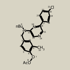 CCCCN(Cc1ccc(OOC(C)=O)c(C)c1)c1cncc(-c2ccc(Cl)cc2)n1